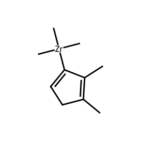 CC1=C(C)[C]([Zr]([CH3])([CH3])[CH3])=CC1